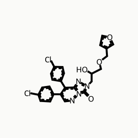 O=c1n(CC(O)COCc2ccoc2)nc2c(-c3ccc(Cl)cc3)c(-c3ccc(Cl)cc3)cnn12